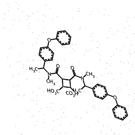 CC(c1ccc(Oc2ccccc2)cc1)N(C)C(=O)C1C(C(=O)O)C(C(=O)O)C1C(=O)N(C)C(C)c1ccc(Oc2ccccc2)cc1